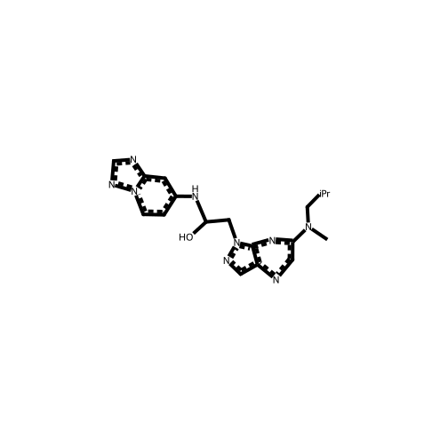 CC(C)CN(C)c1cnc2cnn(CC(O)Nc3ccn4ncnc4c3)c2n1